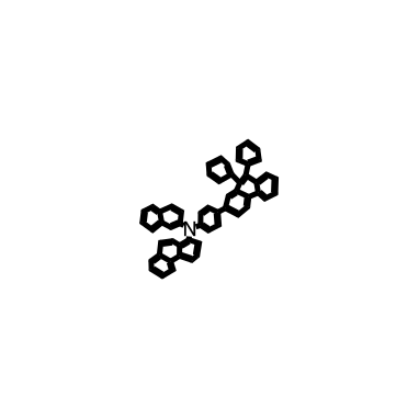 c1ccc(-c2c(-c3ccccc3)c3cc(-c4ccc(N(c5ccc6ccccc6c5)c5cccc6c5ccc5ccccc56)cc4)ccc3c3ccccc23)cc1